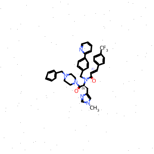 Cn1cnc(C[C@@H](C(=O)N2CCN(Cc3ccccc3)CC2)N(Cc2ccc(-c3ccccn3)cc2)C(=O)/C=C/c2ccc(C(F)(F)F)cc2)c1